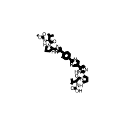 COC(=O)N[C@H](C(=O)N1CCCC1c1ncc(-c2ccc(-c3ncc(-c4cnc([C@@H]5CCCN5C(=O)[C@@H](NC(=O)O)C(C)C)[nH]4)cn3)cc2)[nH]1)C(C)C